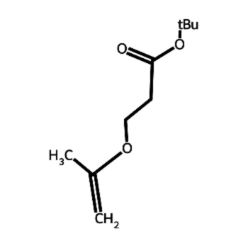 C=C(C)OCCC(=O)OC(C)(C)C